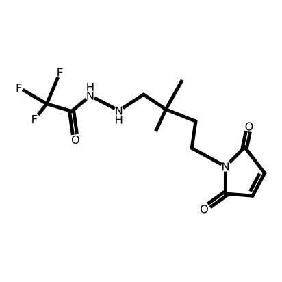 CC(C)(CCN1C(=O)C=CC1=O)CNNC(=O)C(F)(F)F